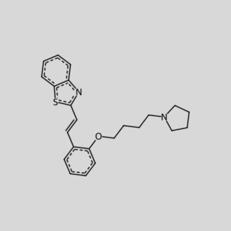 C(=Cc1ccccc1OCCCCN1CCCC1)c1nc2ccccc2s1